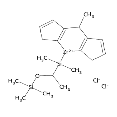 CC1C2=[C](CC=C2)[Zr+2]([Si](C)(C)C(C)O[Si](C)(C)C)[C]2=C1C=CC2.[Cl-].[Cl-]